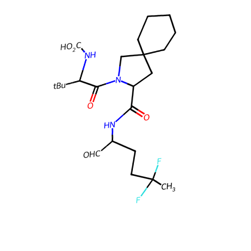 CC(F)(F)CCC(C=O)NC(=O)C1CC2(CCCCC2)CN1C(=O)C(NC(=O)O)C(C)(C)C